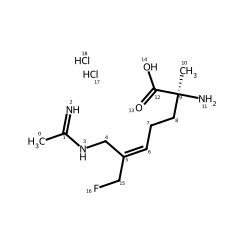 CC(=N)NC/C(=C\CC[C@](C)(N)C(=O)O)CF.Cl.Cl